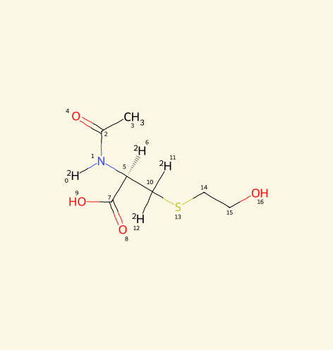 [2H]N(C(C)=O)[C@]([2H])(C(=O)O)C([2H])([2H])SCCO